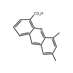 Cc1cc(C)c2nc3c(C(=O)O)cccc3cc2c1